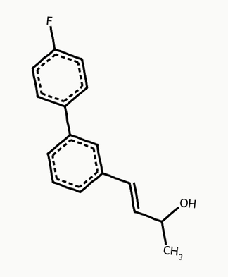 CC(O)C=Cc1cccc(-c2ccc(F)cc2)c1